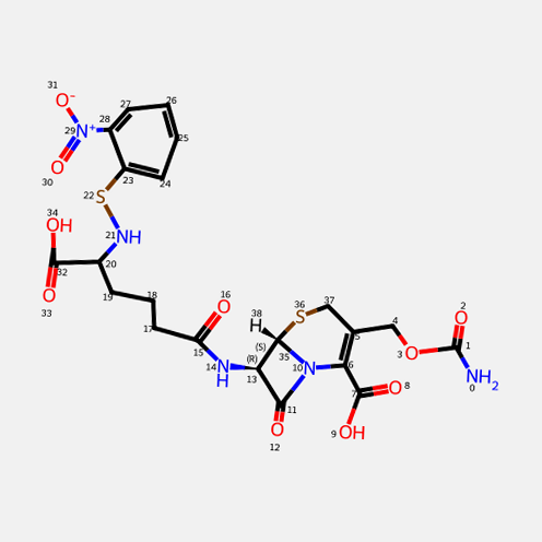 NC(=O)OCC1=C(C(=O)O)N2C(=O)[C@@H](NC(=O)CCCC(NSc3ccccc3[N+](=O)[O-])C(=O)O)[C@@H]2SC1